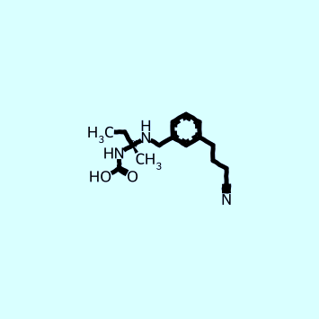 CC[C@](C)(NCc1cccc(CCCC#N)c1)NC(=O)O